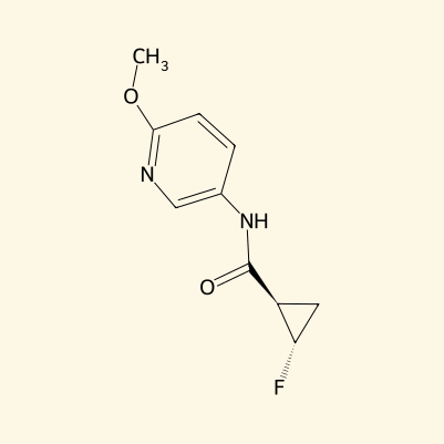 COc1ccc(NC(=O)[C@H]2C[C@@H]2F)cn1